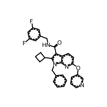 O=C(NCc1cc(F)cc(F)c1)c1c(C2CCC2)n(Cc2ccccc2)c2nc(Oc3cccnc3)ccc12